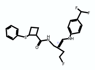 O=C(NC/C(=C/Nc1ccc(C(F)F)cc1)CCF)C1CCC1Sc1ccccc1